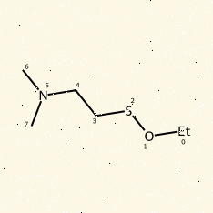 CCOSCCN(C)C